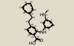 CNc1cccc(Nc2cc(CCc3ccccc3)ccc2C(=O)O)c1